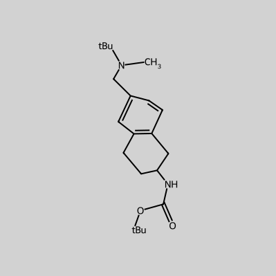 CN(Cc1ccc2c(c1)CCC(NC(=O)OC(C)(C)C)C2)C(C)(C)C